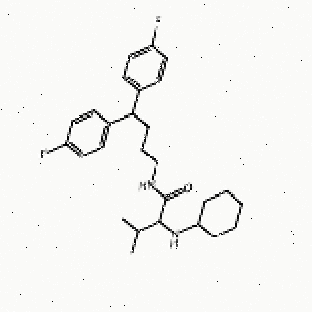 CC(C)C(NC1CCCCC1)C(=O)NCCCC(c1ccc(F)cc1)c1ccc(F)cc1